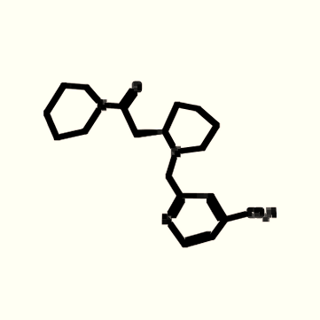 O=C(O)c1ccnc(CN2CCCC[C@@H]2CC(=O)N2CCCCC2)c1